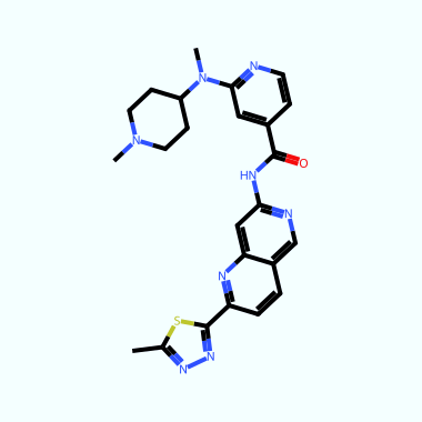 Cc1nnc(-c2ccc3cnc(NC(=O)c4ccnc(N(C)C5CCN(C)CC5)c4)cc3n2)s1